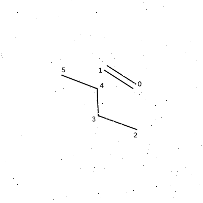 C=C.CCCC